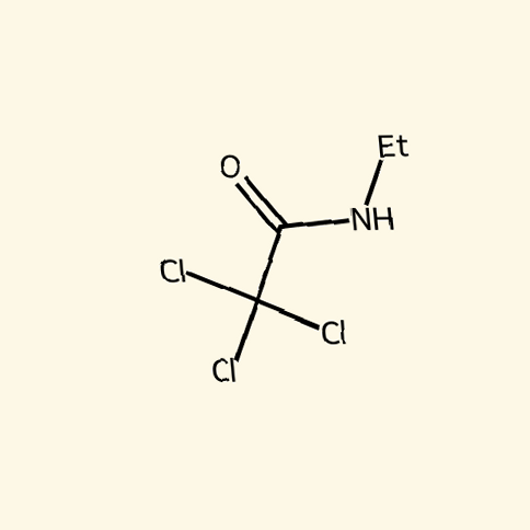 CCNC(=O)C(Cl)(Cl)Cl